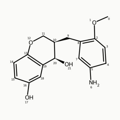 COc1ccc(N)cc1C[C@@H]1COc2ccc(O)cc2[C@@H]1O